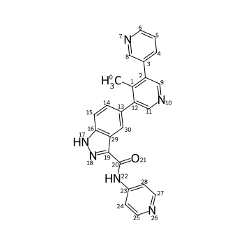 Cc1c(-c2cccnc2)cncc1-c1ccc2[nH]nc(C(=O)Nc3ccncc3)c2c1